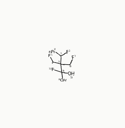 CCCC(F)C(CF)(CF)C(O)(O)F